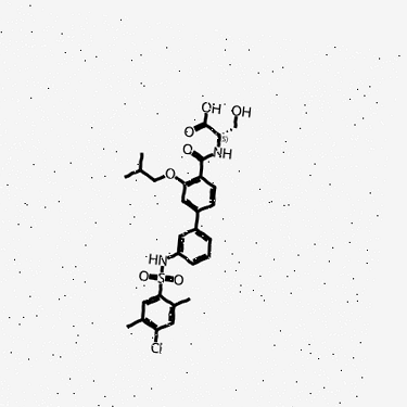 Cc1cc(S(=O)(=O)Nc2cccc(-c3ccc(C(=O)N[C@@H](CO)C(=O)O)c(OCC(C)C)c3)c2)c(C)cc1Cl